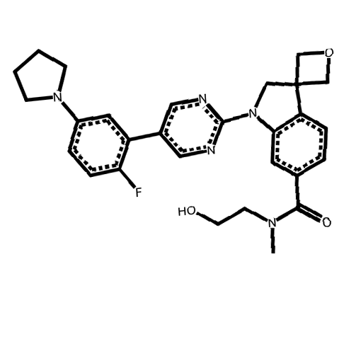 CN(CCO)C(=O)c1ccc2c(c1)N(c1ncc(-c3cc(N4CCCC4)ccc3F)cn1)CC21COC1